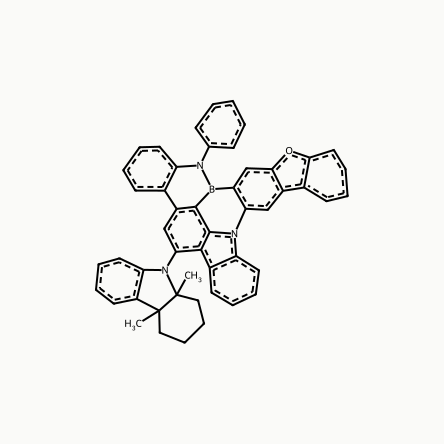 CC12CCCCC1(C)N(c1cc3c4c5c1c1ccccc1n5-c1cc5c(cc1B4N(c1ccccc1)c1ccccc1-3)oc1ccccc15)c1ccccc12